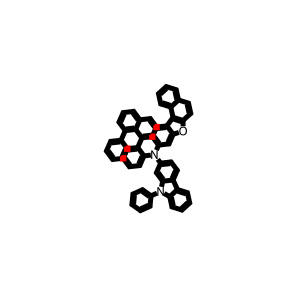 c1ccc(-c2cccc3cccc(-c4ccccc4N(c4ccc5c(c4)oc4ccc6ccccc6c45)c4ccc5c6ccccc6n(-c6ccccc6)c5c4)c23)cc1